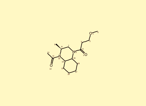 COCCC(=O)N1C[C@H](C)N(C(C)=O)C2CCCCC21